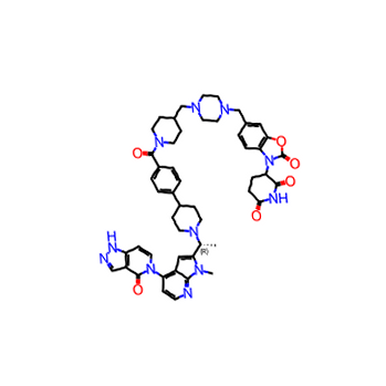 C[C@H](c1cc2c(-n3ccc4[nH]ncc4c3=O)ccnc2n1C)N1CCC(c2ccc(C(=O)N3CCC(CN4CCN(Cc5ccc6c(c5)oc(=O)n6C5CCC(=O)NC5=O)CC4)CC3)cc2)CC1